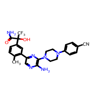 Cc1ccc(C(O)(C(N)=O)C(F)(F)F)cc1-c1cnc(N)c(N2CCN(c3ccc(C#N)cc3)CC2)n1